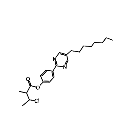 CCCCCCCCc1cnc(-c2ccc(OC(=O)C(C)C(C)Cl)cc2)nc1